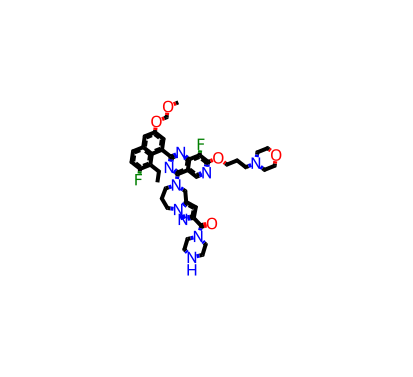 CCc1c(F)ccc2cc(OCOC)cc(-c3nc(N4CCCn5nc(C(=O)N6CCNCC6)cc5C4)c4cnc(OCCCN5CCOCC5)c(F)c4n3)c12